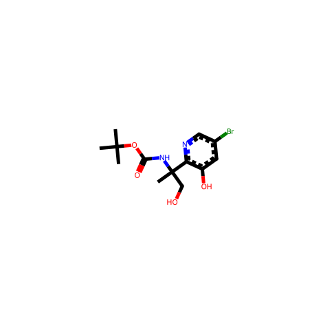 CC(C)(C)OC(=O)NC(C)(CO)c1ncc(Br)cc1O